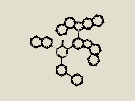 C=C1C(c2cc(-n3c4cc5ccccc5cc4c4ccc5ccccc5c43)c3oc4ccc5ccccc5c4c3c2)=NC(c2cccc(-c3ccccc3)c2)=N[C@@H]1c1ccc2ccccc2c1